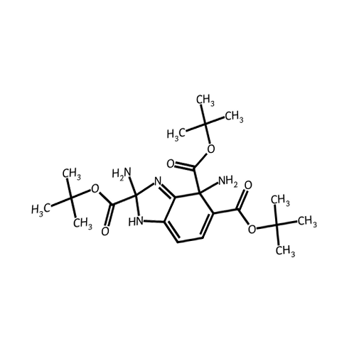 CC(C)(C)OC(=O)C1=CC=C2NC(N)(C(=O)OC(C)(C)C)N=C2C1(N)C(=O)OC(C)(C)C